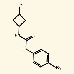 N#CC1CC(NC(=O)Oc2ccc([N+](=O)[O-])cc2)C1